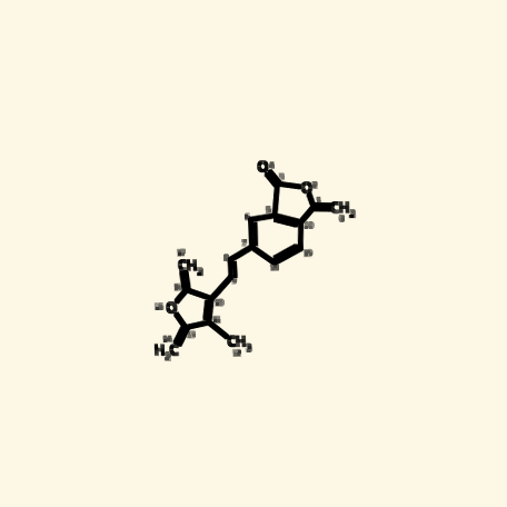 C=C1OC(=O)c2cc(/C=C/c3c(C)c(=C)oc3=C)ccc21